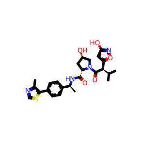 Cc1ncsc1-c1ccc([C@H](C)NC(=O)[C@@H]2C[C@@H](O)CN2C(=O)[C@@H](c2cc(O)no2)C(C)C)cc1